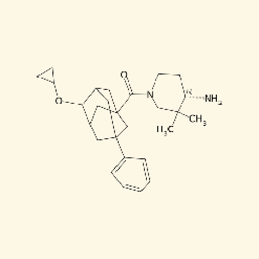 CC1(C)CN(C(=O)C23CC4CC(c5ccccc5)(CC(C2)C4OC2CC2)C3)CC[C@@H]1N